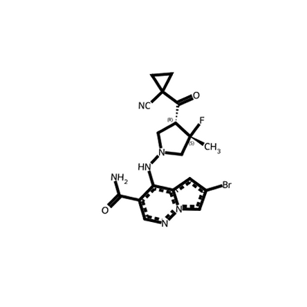 C[C@@]1(F)CN(Nc2c(C(N)=O)cnn3cc(Br)cc23)C[C@@H]1C(=O)C1(C#N)CC1